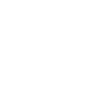 COc1ccc(/C=C/I)c(Cl)c1OC